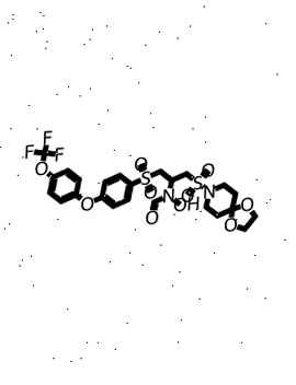 O=CN(O)C(CS(=O)(=O)c1ccc(Oc2ccc(OC(F)(F)F)cc2)cc1)CS(=O)(=O)N1CCC2(CC1)OCCO2